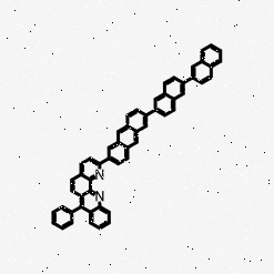 c1ccc(-c2c3ccccc3nc3c2ccc2ccc(-c4ccc5cc6cc(-c7ccc8cc(-c9ccc%10ccccc%10c9)ccc8c7)ccc6cc5c4)nc23)cc1